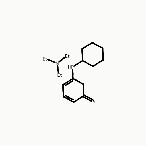 CCN(CC)CC.S=C1C=CC=C(PC2CCCCC2)C1